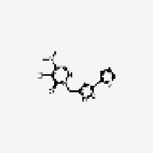 CN(C)c1cnn(Cc2cc(-c3cccs3)on2)c(=O)c1Cl